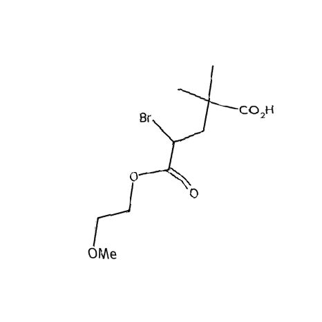 COCCOC(=O)C(Br)CC(C)(C)C(=O)O